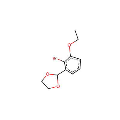 CCOc1cccc(C2OCCO2)c1Br